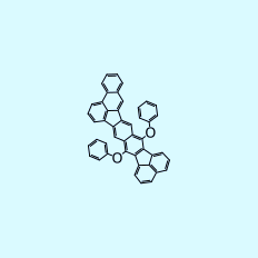 c1ccc(Oc2c3cc4c(cc3c(Oc3ccccc3)c3c5cccc6cccc(c23)c65)c2cc3ccccc3c3cccc4c32)cc1